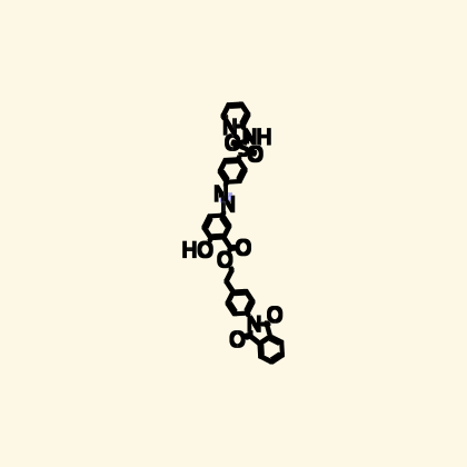 O=C(OCCc1ccc(N2C(=O)c3ccccc3C2=O)cc1)c1cc(/N=N/c2ccc(S(=O)(=O)Nc3ccccn3)cc2)ccc1O